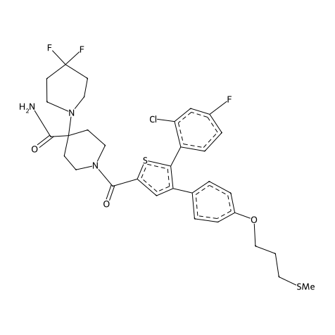 CSCCCOc1ccc(-c2cc(C(=O)N3CCC(C(N)=O)(N4CCC(F)(F)CC4)CC3)sc2-c2ccc(F)cc2Cl)cc1